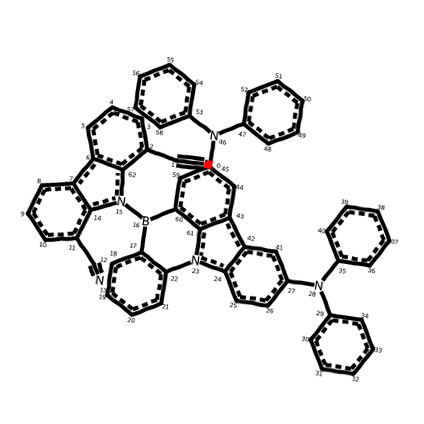 N#Cc1cccc2c3cccc(C#N)c3n(B3c4ccccc4-n4c5ccc(N(c6ccccc6)c6ccccc6)cc5c5cc(N(c6ccccc6)c6ccccc6)cc3c54)c12